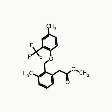 COC(=O)Cc1cccc(C)c1COc1ccc(C)cc1C(F)(F)F